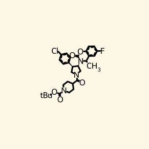 CC1c2cc(F)ccc2OC(=O)N1[C@@H]1CN(C(=O)C2CCN(C(=O)OC(C)(C)C)CC2)C[C@H]1c1ccc(Cl)cc1